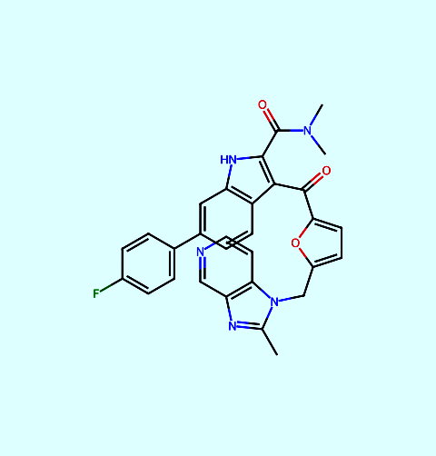 Cc1nc2cnccc2n1Cc1ccc(C(=O)c2c(C(=O)N(C)C)[nH]c3cc(-c4ccc(F)cc4)ccc23)o1